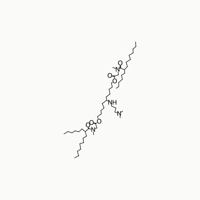 CCCCCCCCC(CCCCCC)C(=O)N(C)CC(=O)OCCCCCC(CCCCCOC(=O)CN(C)C(=O)C(CCCCCC)CCCCCCCC)NCCCN(C)C